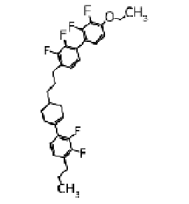 CCCc1ccc(C2=CCC(CCCc3ccc(-c4ccc(OCC)c(F)c4F)c(F)c3F)CC2)c(F)c1F